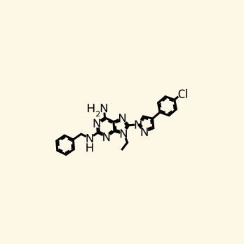 CCn1c(-n2cc(-c3ccc(Cl)cc3)cn2)nc2c(N)nc(NCc3ccccc3)nc21